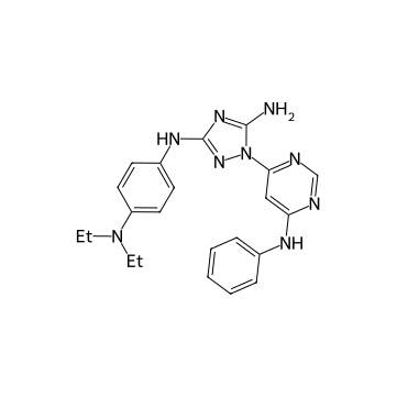 CCN(CC)c1ccc(Nc2nc(N)n(-c3cc(Nc4ccccc4)ncn3)n2)cc1